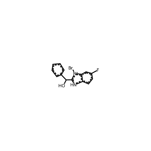 OC(c1ccccc1)c1[nH]c2ccc(F)cc2[n+]1Br